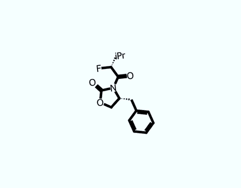 CC(C)[C@@H](F)C(=O)N1C(=O)OC[C@H]1Cc1ccccc1